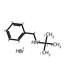 Br.CC(C)(C)NCc1ccccc1